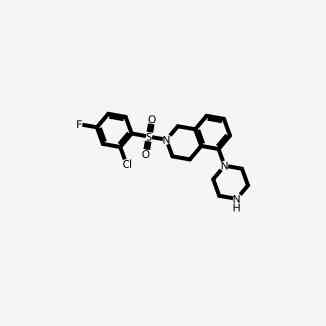 O=S(=O)(c1ccc(F)cc1Cl)N1CCc2c(cccc2N2CCNCC2)C1